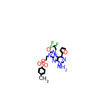 Cc1ccc(S(=O)(=O)OCCn2c(=O)n(CC(F)(F)F)n3c4c(nc23)N(N)CN=C4c2ccco2)cc1